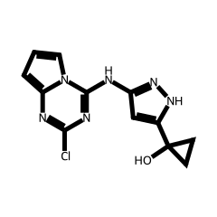 OC1(c2cc(Nc3nc(Cl)nc4cccn34)n[nH]2)CC1